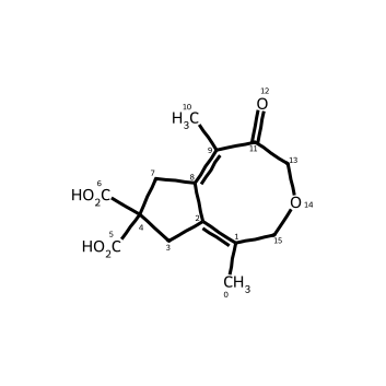 CC1=C2CC(C(=O)O)(C(=O)O)CC2=C(C)C(=O)COC1